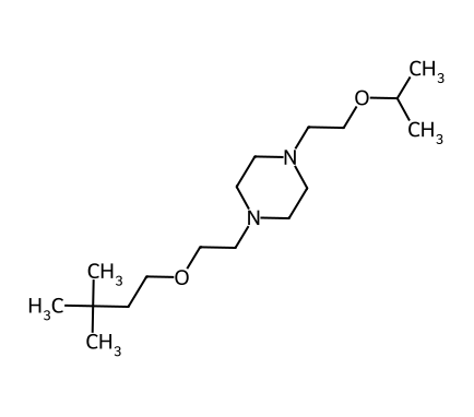 CC(C)OCCN1CCN(CCOCCC(C)(C)C)CC1